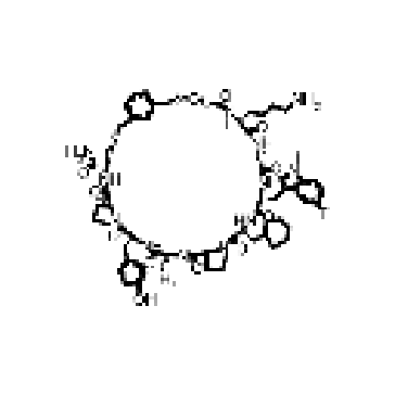 C[C@@H]1NC(=O)[C@@H]2CCCN2C(=O)[C@H](CC2CCCCC2)NC(=O)[C@H](Cc2c[nH]c3ccc(F)cc23)NC(=O)CNC(=O)[C@H](CCCCN)NC(=O)CCSCc2cccc(c2)CSC[C@@H](C(N)=O)NC(=O)[C@@H]2CCCN2C(=O)[C@H](Cc2ccc(O)cc2)NC1=O